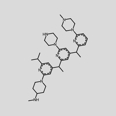 CNC1CCN(c2cc(C(C)c3cc(C(C)c4cccc(N5CCN(C)CC5)n4)cc(N4CCNCC4)n3)cc(C(C)C)n2)CC1